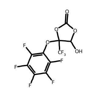 O=C1OC(O)C(Oc2c(F)c(F)c(F)c(F)c2F)(C(F)(F)F)O1